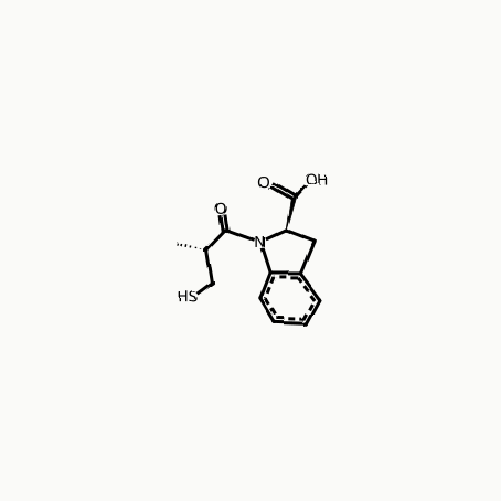 C[C@@H](CS)C(=O)N1c2ccccc2C[C@@H]1C(=O)O